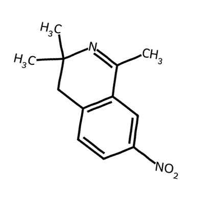 CC1=NC(C)(C)Cc2ccc([N+](=O)[O-])cc21